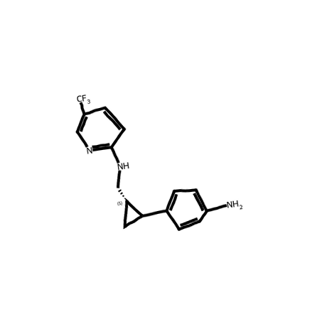 Nc1ccc(C2C[C@@H]2CNc2ccc(C(F)(F)F)cn2)cc1